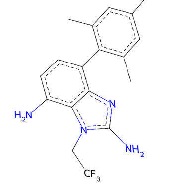 Cc1cc(C)c(-c2ccc(N)c3c2nc(N)n3CC(F)(F)F)c(C)c1